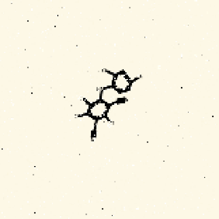 N#Cc1c(Cl)c(Cl)c(Nc2ccc(Br)cc2Cl)c(C#N)c1Cl